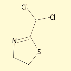 ClC(Cl)C1=NCCS1